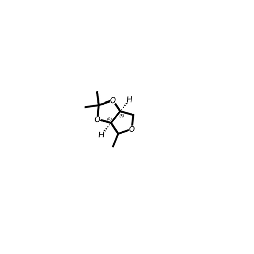 CC1OC[C@@H]2OC(C)(C)O[C@H]12